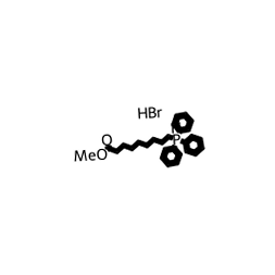 Br.COC(=O)CCCCCCCC[PH](c1ccccc1)(c1ccccc1)c1ccccc1